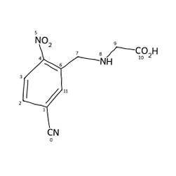 N#Cc1ccc([N+](=O)[O-])c(CNCC(=O)O)c1